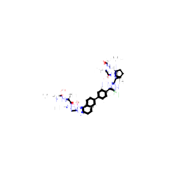 CCCN(Cc1nc2ccc3cc(-c4ccc(-c5[nH]c(C6[C@H]7CC[C@H](C7)N6C(=O)[C@@H](NC(=O)OC)C(C)C)nc5Cl)cc4)ccc3c2[nH]1)C(=O)[C@@H](NC(=O)OC)C(C)C